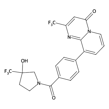 O=C(c1ccc(-c2cccn3c(=O)cc(C(F)(F)F)nc23)cc1)N1CCC(O)(C(F)(F)F)C1